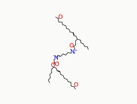 CCCCCCC(C/C=C/CCCCCCCC(C)=O)CCC(=O)C[N+](C)(C)CCCCCC[N+](C)(C)CC(=O)OC(C/C=C/CCCCCCCC(C)=O)CCCCCC